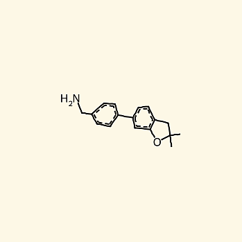 CC1(C)Cc2ccc(-c3ccc(CN)cc3)cc2O1